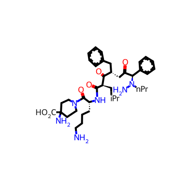 CCCN(N)[C@@H](C(=O)C[C@@H](Cc1ccccc1)C(=O)[C@@H](CC(C)C)C(=O)N[C@H](CCCCN)C(=O)N1CCC(N)(C(=O)O)CC1)c1ccccc1